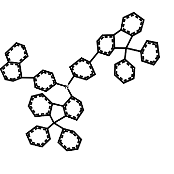 c1ccc(C2(c3ccccc3)c3ccccc3-c3ccc(-c4ccc(N(c5ccc(-c6cccc7ccccc67)cc5)c5cccc6c5-c5ccccc5C6(c5ccccc5)c5ccccc5)cc4)cc32)cc1